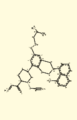 C=CC(=O)N1CCN(c2nc(OOCN(C)C)nc3c2CCN(c2cccc4cccc(C)c24)C3)C[C@@H]1CC#N